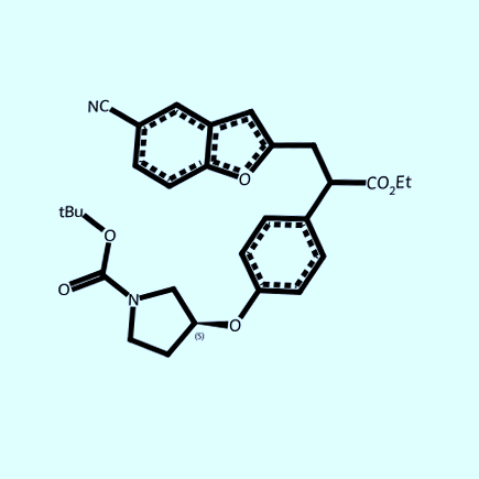 CCOC(=O)C(Cc1cc2cc(C#N)ccc2o1)c1ccc(O[C@H]2CCN(C(=O)OC(C)(C)C)C2)cc1